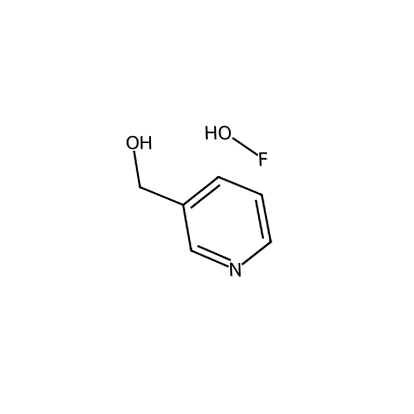 OCc1cccnc1.OF